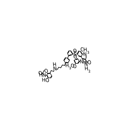 COc1cccc(Nc2c(C(N)=O)cnc3c(C)cc(S(=O)(=O)c4cccc(-c5ccc(CCCCCNCCc6ccc(O)c7c6OCC(=O)N7)cc5)c4)cc23)c1